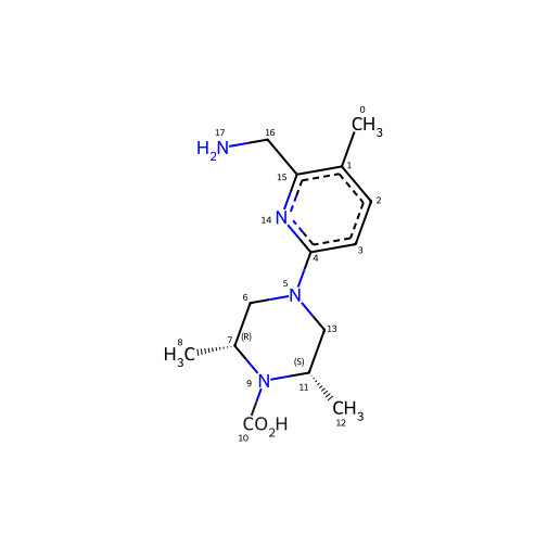 Cc1ccc(N2C[C@@H](C)N(C(=O)O)[C@@H](C)C2)nc1CN